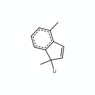 [Li][C]1(C)C=Cc2c(C)cccc21